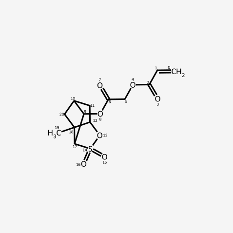 C=CC(=O)OCC(=O)OC1C2CC3OS(=O)(=O)C1C3(C)C2